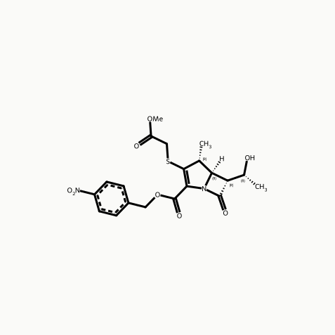 COC(=O)CSC1=C(C(=O)OCc2ccc([N+](=O)[O-])cc2)N2C(=O)[C@@H]([C@@H](C)O)[C@@H]2[C@H]1C